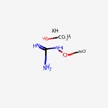 N=C(N)NON=O.O=C(O)O.[KH]